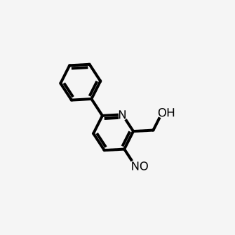 O=Nc1ccc(-c2ccccc2)nc1CO